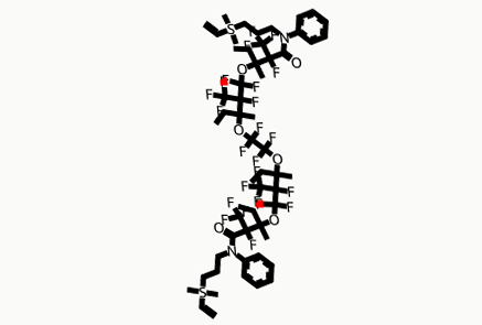 C=CS(C)(C)CCCN(C(=O)C(F)(C(F)(F)F)C(C)(CC)OC(F)(F)C(F)(C(F)(F)F)C(C)(CC)OC(F)(F)C(F)(F)OC(C)(CC)C(F)(C(F)(F)F)C(F)(F)OC(C)(CC)C(F)(C(=O)N(CCCS(C)(C)C=C)c1ccccc1)C(F)(F)F)c1ccccc1